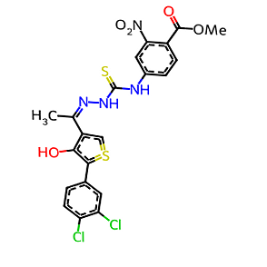 COC(=O)c1ccc(NC(=S)N/N=C(/C)c2csc(-c3ccc(Cl)c(Cl)c3)c2O)cc1[N+](=O)[O-]